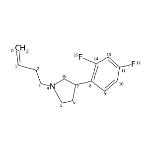 C=CCCN1CCC(c2ccc(F)cc2F)C1